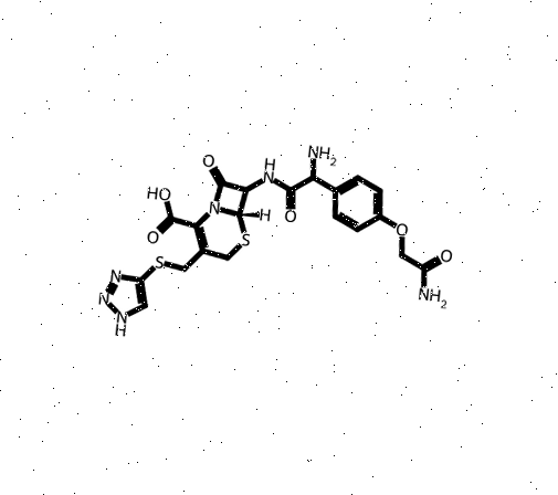 NC(=O)COc1ccc(C(N)C(=O)NC2C(=O)N3C(C(=O)O)=C(CSc4c[nH]nn4)CS[C@@H]23)cc1